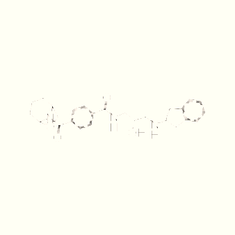 O=C(NC[C@@H](O)CNC1Cc2ccccc2C1)c1ccc(C(=O)N2C3CCCC2OC3)cc1